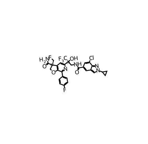 NC(=O)[C@@]1(CF)COc2c1cc([C@@](O)(CNC(=O)c1cc(Cl)c3nn(C4CC4)cc3c1)C(F)(F)F)nc2-c1ccc(F)cc1